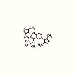 Cc1noc(C)c1-c1ccc2nc(-c3c(C)noc3C)nc(OC(C)(C)C)c2c1